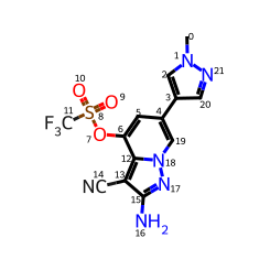 Cn1cc(-c2cc(OS(=O)(=O)C(F)(F)F)c3c(C#N)c(N)nn3c2)cn1